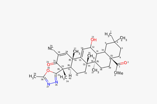 COC(=O)[C@]12CCC(C)(C)CC1C1C(O)C=C3[C@@]4(C)C=C(C#N)C(=O)[C@@](C)(c5nnc(C)o5)[C@@H]4CC[C@@]3(C)[C@]1(C)CC2